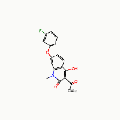 COC(=O)c1c(O)c2ccc(Oc3cccc(F)c3)cc2n(C)c1=O